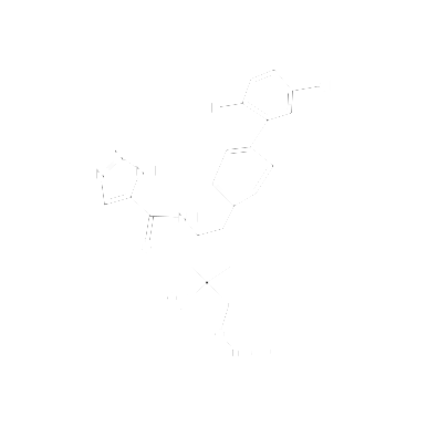 CCCCCOCC(C)(C[C@@H](Cc1ccc(-c2cc(Cl)ccc2F)cc1)NC(=O)c1cnn[nH]1)C(=O)O